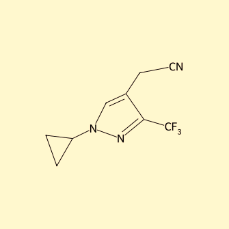 N#CCc1cn(C2CC2)nc1C(F)(F)F